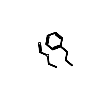 CCCc1ccccc1.CCOC=O